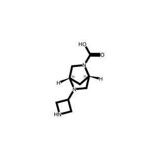 O=C(O)N1C[C@@H]2C[C@H]1CN2C1CNC1